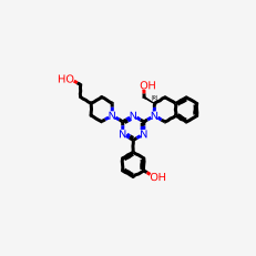 OCCC1CCN(c2nc(-c3cccc(O)c3)nc(N3Cc4ccccc4C[C@@H]3CO)n2)CC1